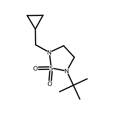 CC(C)(C)N1CCN(CC2CC2)S1(=O)=O